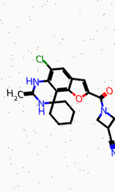 C=C1Nc2c(Cl)cc3cc(C(=O)N4CC(C#N)C4)oc3c2C2(CCCCC2)N1